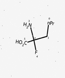 CCCCC(N)(F)C(=O)O